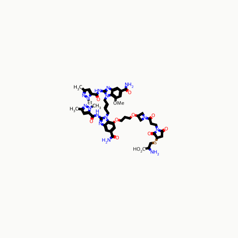 CCn1nc(C)cc1C(=O)Nc1nc2cc(C(N)=O)cc(OC)c2n1C/C=C/Cn1c(NC(=O)c2cc(C)nn2C)nc2cc(C(N)=O)cc(OCCCOC3CN(C(=O)CCN4C(=O)CC(SCC(N)C(=O)O)C4=O)C3)c21